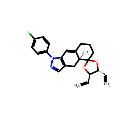 C=C[C@H]1OC2(CCCC3=Cc4c(cnn4-c4ccc(F)cc4)C[C@@]32C)O[C@@H]1C=C